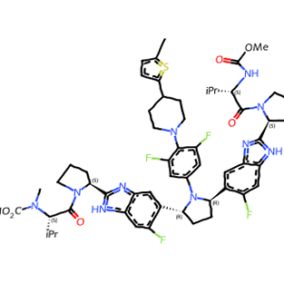 COC(=O)N[C@H](C(=O)N1CCC[C@H]1c1nc2cc([C@H]3CC[C@H](c4cc5nc([C@@H]6CCCN6C(=O)[C@H](C(C)C)N(C)C(=O)O)[nH]c5cc4F)N3c3cc(F)c(N4CCC(c5ccc(C)s5)CC4)c(F)c3)c(F)cc2[nH]1)C(C)C